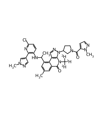 [2H]C([2H])([2H])n1c(=O)c2cc(C)cc(C(C)Nc3ccc(Cl)nc3-c3cnn(C)c3)c2c2cnn(C3CCN(C(=O)c4ccnn4C)C3)c21